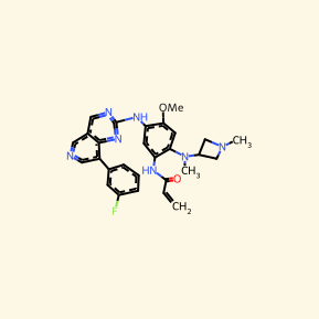 C=CC(=O)Nc1cc(Nc2ncc3cncc(-c4cccc(F)c4)c3n2)c(OC)cc1N(C)C1CN(C)C1